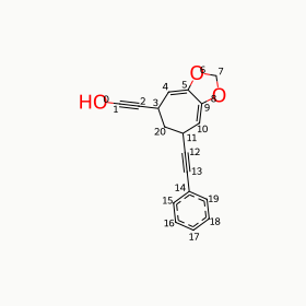 OC#CC1C=C2OCOC2=CC(C#Cc2ccccc2)C1